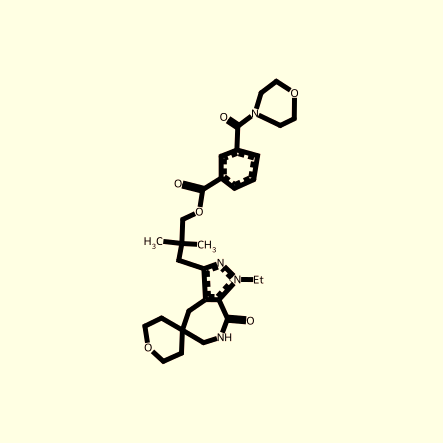 CCn1nc(CC(C)(C)COC(=O)c2cccc(C(=O)N3CCOCC3)c2)c2c1C(=O)NCC1(CCOCC1)C2